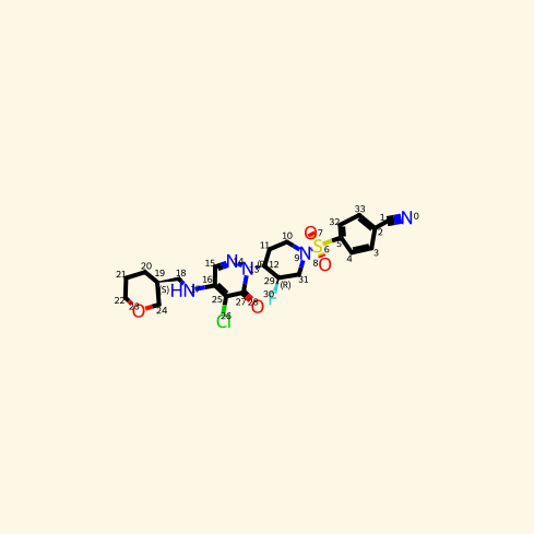 N#Cc1ccc(S(=O)(=O)N2CC[C@@H](n3ncc(NC[C@@H]4CCCOC4)c(Cl)c3=O)[C@H](F)C2)cc1